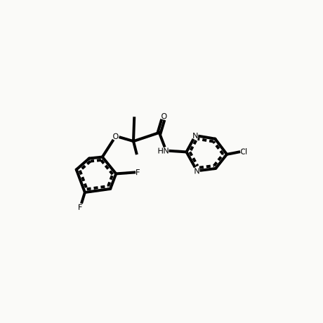 CC(C)(Oc1ccc(F)cc1F)C(=O)Nc1ncc(Cl)cn1